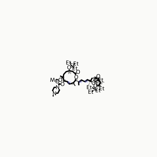 CC[C@H](O[Si](CC)(CC)CC)[C@@H](C)[C@H]1O[C@@H]1C[C@](C)(/C=C/C=C(\C)[C@H]1OC(=O)C[C@H](O[Si](CC)(CC)CC)CC[C@@](C)(OC)[C@H](OC(=O)N2CCN(C)CC2)/C=C/[C@@H]1C)O[Si](CC)(CC)CC